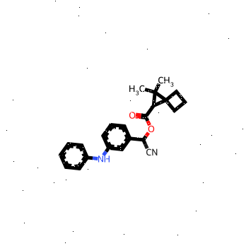 CC1(C)C(C(=O)OC(C#N)c2cccc(Nc3ccccc3)c2)C12CCC2